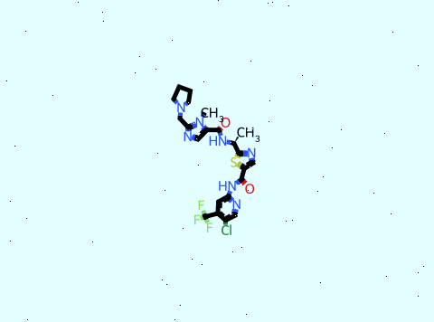 C[C@@H](NC(=O)c1cnc(CN2CCCC2)n1C)c1ncc(C(=O)Nc2cc(C(F)(F)F)c(Cl)cn2)s1